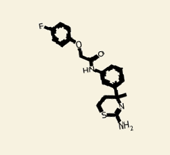 CC1(c2cccc(NC(=O)COc3ccc(F)cc3)c2)CCSC(N)=N1